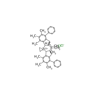 Cc1c(C)c(-c2ccccc2)c2c(c1C)[CH]([Zr+2]1([CH]3C(C(C)C)=Cc4c(-c5ccccc5)c(C)c(C)c(C)c43)[CH2][CH2]1)C(C(C)C)=C2.[Cl-].[Cl-]